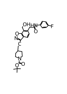 CC(C)(C)OC(=O)N1CCC(CCc2noc3c(CO)c(CC(=O)Nc4ccc(F)cc4)ccc23)CC1